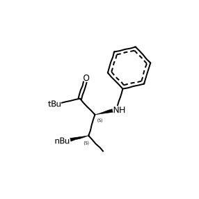 CCCC[C@H](C)[C@H](Nc1ccccc1)C(=O)C(C)(C)C